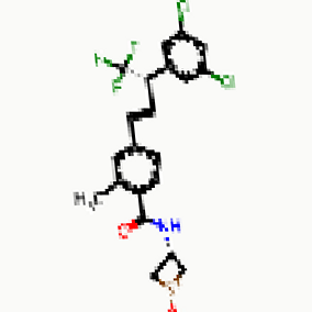 Cc1cc(/C=C/[C@@H](c2cc(Cl)cc(Cl)c2)C(F)(F)F)ccc1C(=O)N[C@H]1C[S@@+]([O-])C1